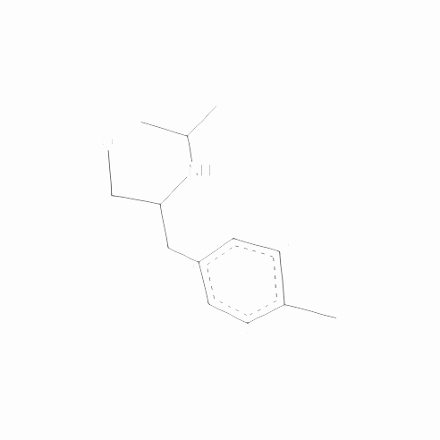 Cc1ccc(CC(CO)NC(C)C)cc1